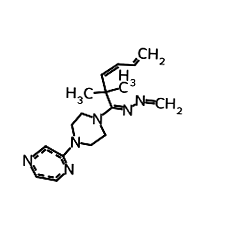 C=C/C=C\C(C)(C)/C(=N\N=C)N1CCN(c2cnccn2)CC1